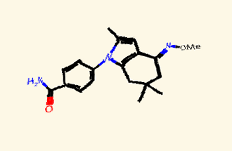 CO/N=C1\CC(C)(C)Cc2c1cc(C)n2-c1ccc(C(N)=O)cc1